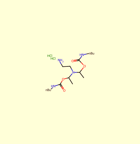 CCCCNC(=O)OC(C)N(CCN)C(C)OC(=O)NCCCC.Cl.Cl